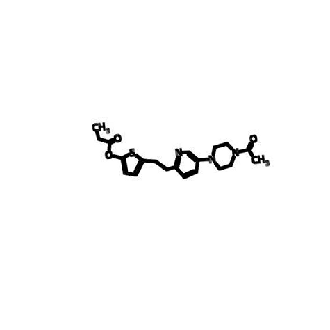 CCC(=O)Oc1ccc(CCc2ccc(N3CCN(C(C)=O)CC3)cn2)s1